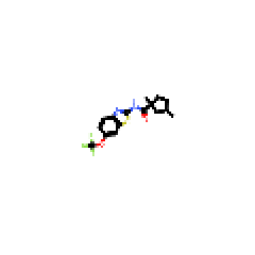 CC1CCC(C)(C(=O)Nc2nc3ccc(OC(F)(F)F)cc3s2)C1